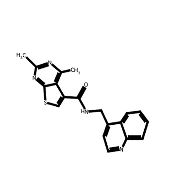 Cc1nc(C)c2c(C(=O)NCc3ccnc4ccccc34)csc2n1